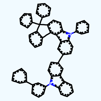 c1ccc(-c2cccc(-n3c4ccccc4c4cc(-c5ccc6c(c5)c5c7c(ccc5n6-c5ccccc5)C(c5ccccc5)(c5ccccc5)c5ccccc5-7)ccc43)c2)cc1